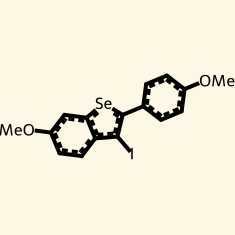 COc1ccc(-c2[se]c3cc(OC)ccc3c2I)cc1